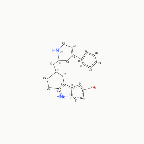 Brc1ccc2[nH]c3c(c2c1)CC(CC1CC(c2ccccc2)=CCN1)CC3